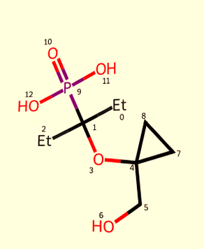 CCC(CC)(OC1(CO)CC1)P(=O)(O)O